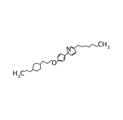 CCCCCCCc1ccc(-c2ccc(OCCCC3CCC(CCC)CC3)cc2)nc1